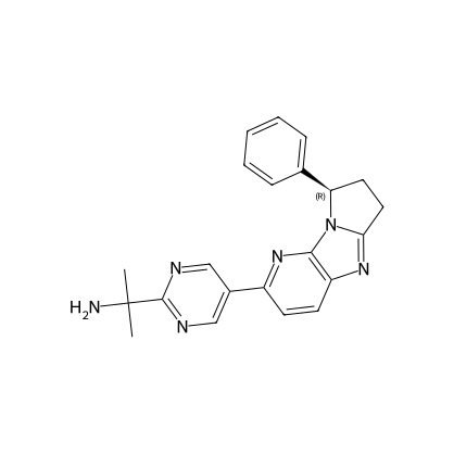 CC(C)(N)c1ncc(-c2ccc3nc4n(c3n2)[C@@H](c2ccccc2)CC4)cn1